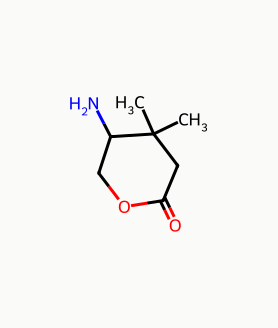 CC1(C)CC(=O)OCC1N